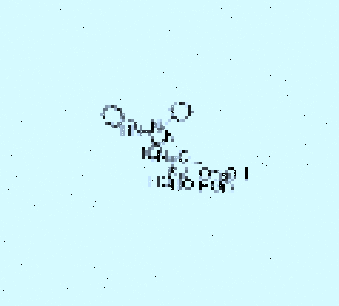 O=P(O)(O)COCC1O[C@@H](n2cnc3c(NCc4ccccc4)nc(-c4ccccc4)nc32)[C@H](O)[C@@H]1O